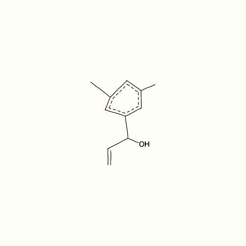 C=CC(O)c1cc(C)cc(C)c1